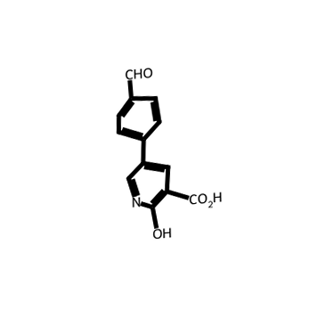 O=Cc1ccc(-c2cnc(O)c(C(=O)O)c2)cc1